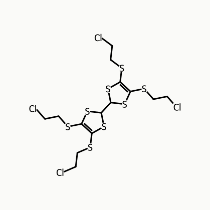 ClCCSC1=C(SCCCl)SC(C2SC(SCCCl)=C(SCCCl)S2)S1